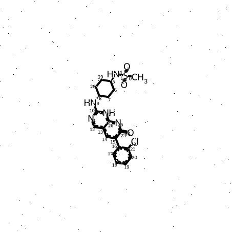 CS(=O)(=O)N[C@H]1CC[C@H](Nc2ncc3cc(-c4ccccc4Cl)c(=O)nc-3[nH]2)CC1